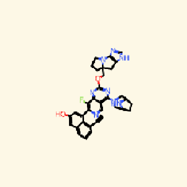 C#Cc1cccc2cc(O)cc(-c3ncc4c(N5CC6CCC(C5)N6)nc(OCC56CCCN5c5nc[nH]c5C6)nc4c3F)c12